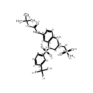 CC(C)(C)OC(=O)Nc1ccc2c(c1)N(S(=O)(=O)c1cccc(C(F)(F)F)c1)C[C@H](CS(C)(=O)=O)O2